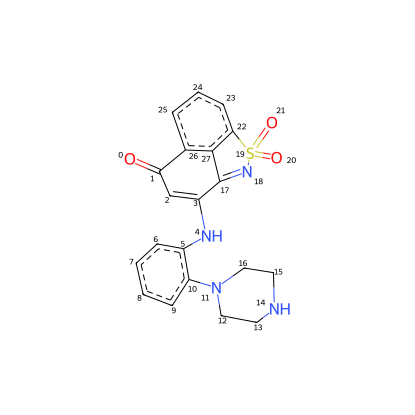 O=C1C=C(Nc2ccccc2N2CCNCC2)C2=NS(=O)(=O)c3cccc1c32